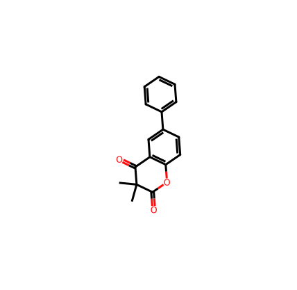 CC1(C)C(=O)Oc2ccc(-c3ccccc3)cc2C1=O